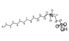 CCCCCCCCCCCCC=C[N+](C)(C)CCCS(=O)(=O)O